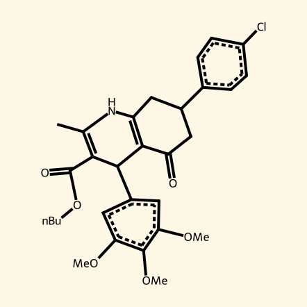 CCCCOC(=O)C1=C(C)NC2=C(C(=O)CC(c3ccc(Cl)cc3)C2)C1c1cc(OC)c(OC)c(OC)c1